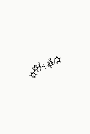 O=C(NCC[C@H]1[C@@H]2CN(c3ccc(F)cc3)C(=O)[C@H]12)c1cc(-c2cccnc2)on1